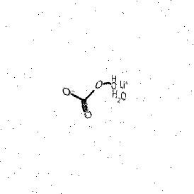 O.O=C([O-])OO.[Li+]